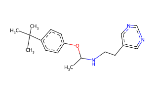 CC(NCCc1cncnc1)Oc1ccc(C(C)(C)C)cc1